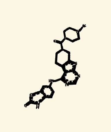 CC(=O)N1CCN(C(=O)C2CCc3c(sc4ncnc(Nc5ccc6[nH]c(=O)sc6c5)c34)C2)CC1